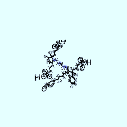 CC1=NN(CCCS(=O)(=O)O)\C(=C/C=C/C=C/C2=[N+](CCCCCOC=O)c3ccccc3C2(C)CCCS(=O)(=O)O)C1(C)CCCS(=O)(=O)O